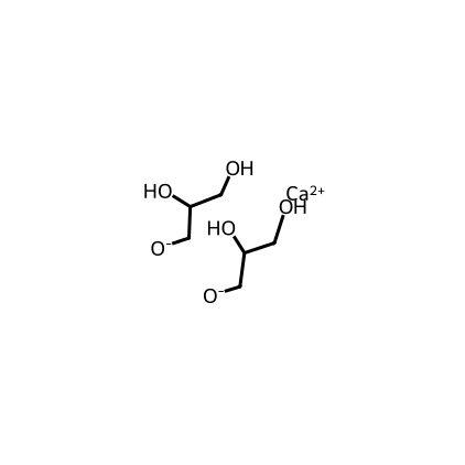 [Ca+2].[O-]CC(O)CO.[O-]CC(O)CO